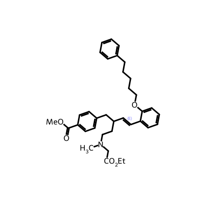 CCOC(=O)CN(C)CCC(/C=C/c1ccccc1OCCCCCc1ccccc1)Cc1ccc(C(=O)OC)cc1